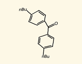 CCCCc1ccc(C(=O)c2ccc(CCCC)cc2)cc1